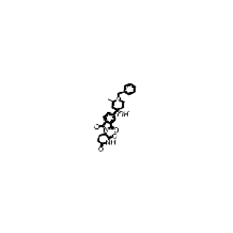 C[C@@H]1CC(O)(c2ccc3c(c2)C(=O)N(C2CCC(=O)NC2=O)C3=O)CCN1Cc1ccccc1